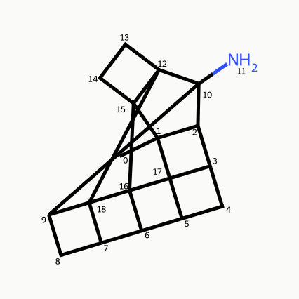 CC12C3C4CC5C6C7CC8C3(N)C39CCC13C6(C452)C789